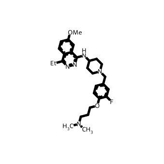 CCc1nnc(NC2CCN(Cc3ccc(OCCCN(C)C)c(F)c3)CC2)c2cc(OC)ccc12